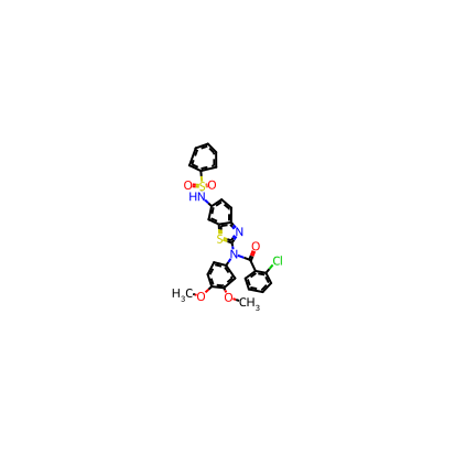 COc1ccc(N(C(=O)c2ccccc2Cl)c2nc3ccc(NS(=O)(=O)c4ccccc4)cc3s2)cc1OC